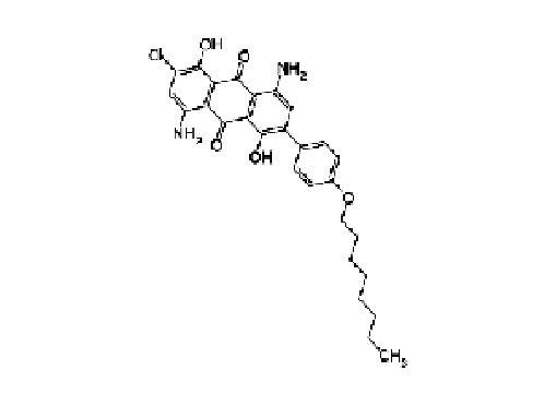 CCCCCCCCOc1ccc(-c2cc(N)c3c(c2O)C(=O)c2c(N)cc(Cl)c(O)c2C3=O)cc1